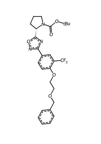 CC(C)(C)OC(=O)N1CCC[C@H]1c1nc(-c2ccc(OCCOCc3ccccc3)c(C(F)(F)F)c2)no1